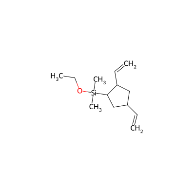 C=CC1CC(C=C)C([Si](C)(C)OCC)C1